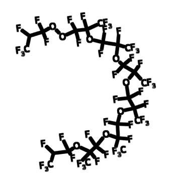 FC(C(F)(F)F)C(F)(F)OOC(F)(F)C(F)(OC(F)(F)C(F)(OC(F)(F)C(F)(OC(F)(F)C(F)(OC(F)(F)C(F)(OC(F)(F)C(F)(OC(F)(F)C(F)C(F)(F)F)C(F)(F)F)C(F)(F)F)C(F)(F)F)C(F)(F)F)C(F)(F)F)C(F)(F)F